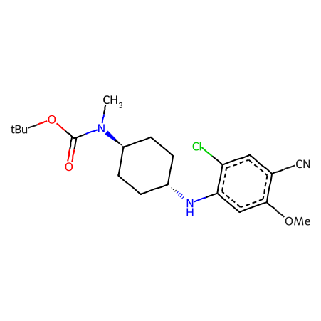 COc1cc(N[C@H]2CC[C@H](N(C)C(=O)OC(C)(C)C)CC2)c(Cl)cc1C#N